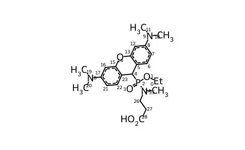 CCOP(=O)(C1c2ccc(N(C)C)cc2Oc2cc(N(C)C)ccc21)N(C)CCC(=O)O